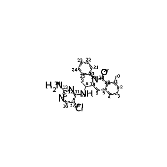 Cc1cccc2cc(C(C)Nc3nc(N)ncc3Cl)n(-c3ccccc3)c(=O)c12